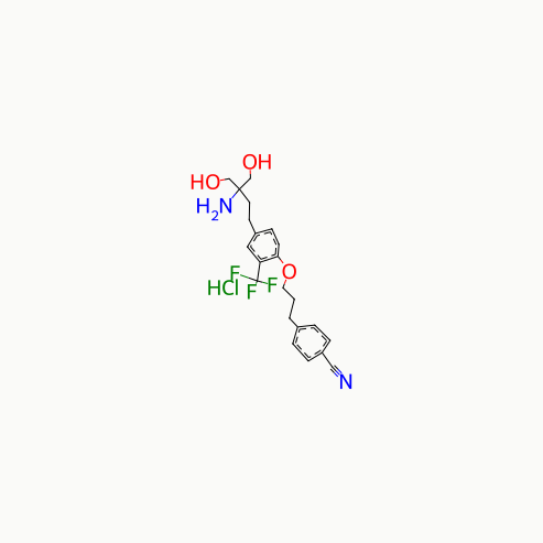 Cl.N#Cc1ccc(CCCOc2ccc(CCC(N)(CO)CO)cc2C(F)(F)F)cc1